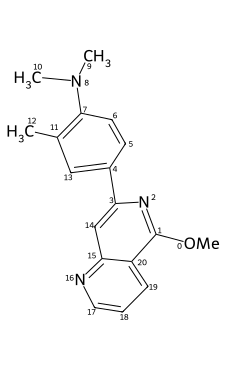 COc1nc(-c2ccc(N(C)C)c(C)c2)cc2ncccc12